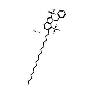 CCCCCCCCCCCCCCCCCc1ccc2nc(S(=O)(=O)[O-])n(Cc3ccccc3)c2c1S(=O)(=O)[O-].[Na+].[Na+]